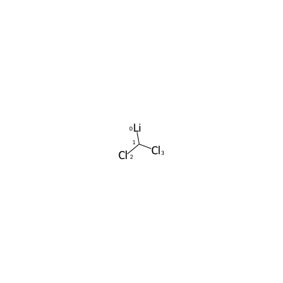 [Li][CH](Cl)Cl